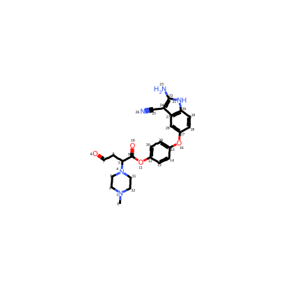 CN1CCN(C(CC=O)C(=O)Oc2ccc(Oc3ccc4[nH]c(N)c(C#N)c4c3)cc2)CC1